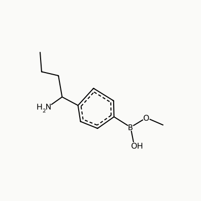 CCCC(N)c1ccc(B(O)OC)cc1